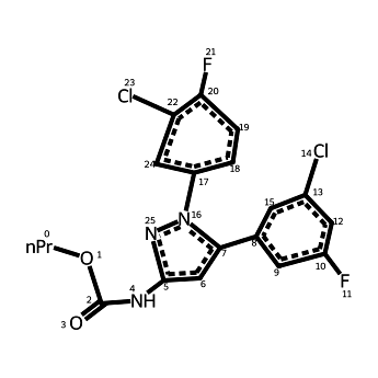 CCCOC(=O)Nc1cc(-c2cc(F)cc(Cl)c2)n(-c2ccc(F)c(Cl)c2)n1